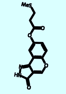 CSCCC(=O)Oc1ccc2occ3c(=O)[nH]nc-3c2c1